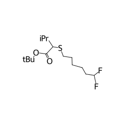 CC(C)C(SCCCCCC(F)F)C(=O)OC(C)(C)C